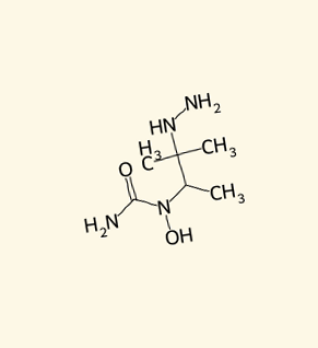 CC(N(O)C(N)=O)C(C)(C)NN